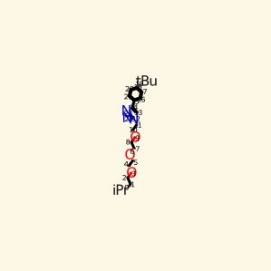 CC(C)CCOCCOCCOCCn1cc(-c2ccc(C(C)(C)C)cc2)nn1